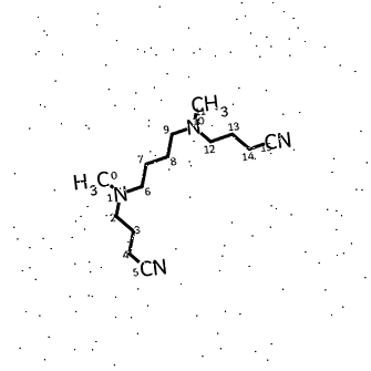 CN(CCCC#N)CCCCN(C)CCCC#N